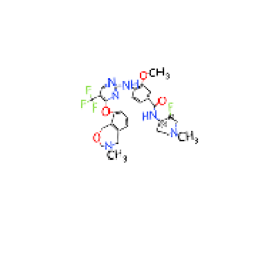 COc1cc(C(=O)N[C@@H]2CCN(C)C[C@@H]2F)ccc1Nc1ncc(C(F)(F)F)c(Oc2cccc3c2COCN(C)C3)n1